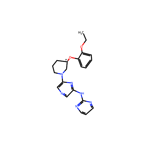 CCOc1ccccc1O[C@@H]1CCCN(c2cncc(Nc3ncccn3)n2)C1